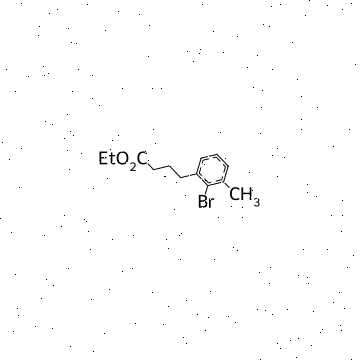 CCOC(=O)CCCc1cccc(C)c1Br